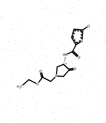 CCOC(=O)CN1CC(=O)[C@@H](NC(=O)c2ccc(Cl)s2)C1